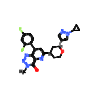 Cn1nnc2c(-c3ccc(F)cc3F)cc([C@@H]3CCO[C@@H](c4cnn(C5CC5)c4)C3)nc2c1=O